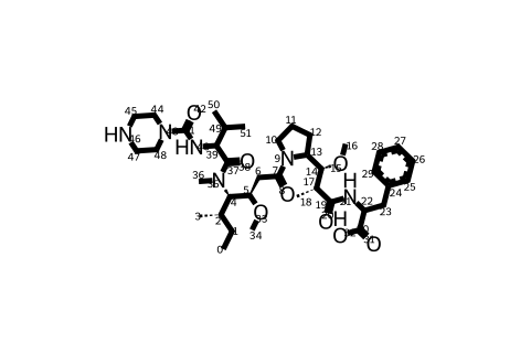 CC[C@H](C)[C@@H]([C@@H](CC(=O)N1CCCC1[C@H](OC)[C@@H](C)C(=O)NC(Cc1ccccc1)C(=O)O)OC)N(C)C(=O)C(NC(=O)N1CCNCC1)C(C)C